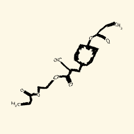 C=CC(=O)OCCOC(=O)/C(C=O)=C/c1ccc(OC(=O)C=C)cc1